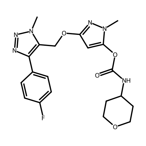 Cn1nc(OCc2c(-c3ccc(F)cc3)nnn2C)cc1OC(=O)NC1CCOCC1